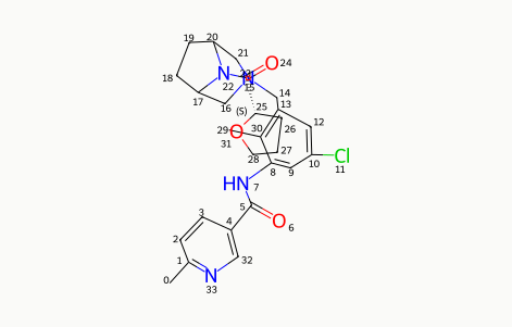 Cc1ccc(C(=O)Nc2cc(Cl)cc(CN3CC4CCC(C3)N4C(=O)[C@@H]3CCCO3)c2C)cn1